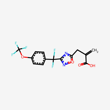 C=C(Cc1nc(C(F)(F)c2ccc(OC(F)(F)F)cc2)no1)C(=O)O